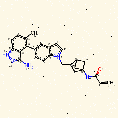 C=CC(=O)NC12CC(Cn3ccc4cc(-c5c(C)ccc6[nH]nc(N)c56)ccc43)C(C1)C2